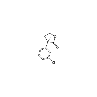 O=C1OC2CC1(c1cccc(Cl)c1)C2